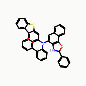 c1ccc(-c2ccccc2N(c2ccc3c(c2)sc2ccccc23)c2cc3ccccc3c3c2NC(c2ccccc2)O3)cc1